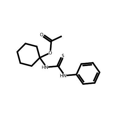 CC(=O)OC1(NC(=S)Nc2ccccc2)CCCCC1